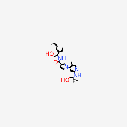 C=C/C(=C\C=C/C)C(CO)NC(=O)c1ccn(-c2cc(N[C@@H](CC)CO)ncc2C)c1